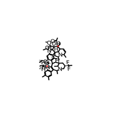 [2H]C([2H])(C)OC(=O)[C@]1(c2c(OCC)cc3c(c2C)C24[C@H](C)C(C)N5C(C)C=C[C@](CC)([C@H]52)[C@@H](OC(C)=O)[C@](O)(C(=O)OC)[C@@H]4N3CC)C[C@@H]2C[C@@H](C(C)(F)F)CN(C(C)c3c1[nH]c1cc(C)c(C)cc31)C2C